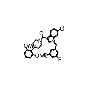 COc1cccc(OC)c1C1CCN(C(=O)c2cn(Cc3cc(F)cc(F)c3)c3cc(Cl)ccc23)CC1